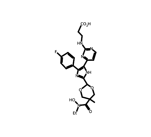 CCN(O)C(=O)C1(C)COC(c2nc(-c3ccc(F)cc3)c(-c3ccnc(NCCC(=O)O)n3)[nH]2)OC1